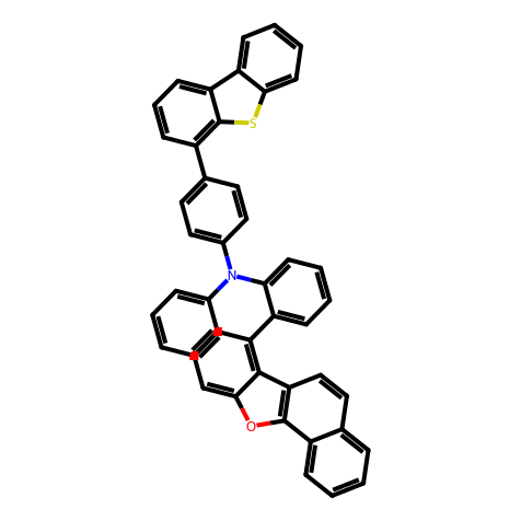 c1ccc(N(c2ccc(-c3cccc4c3sc3ccccc34)cc2)c2ccccc2-c2cccc3oc4c5ccccc5ccc4c23)cc1